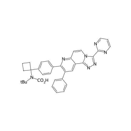 CC(C)(C)N(C(=O)O)C1(c2ccc(-c3nc4ccn5c(-c6ncccn6)nnc5c4cc3-c3ccccc3)cc2)CCC1